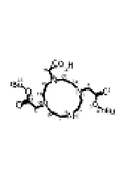 CCCCOC(=O)CN1CCNCCN(CC(=O)OC(C)(C)C)CCN(CC(=O)O)CC1